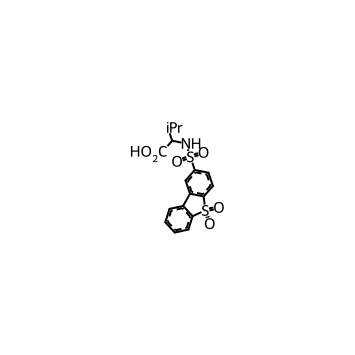 CC(C)C(NS(=O)(=O)c1ccc2c(c1)-c1ccccc1S2(=O)=O)C(=O)O